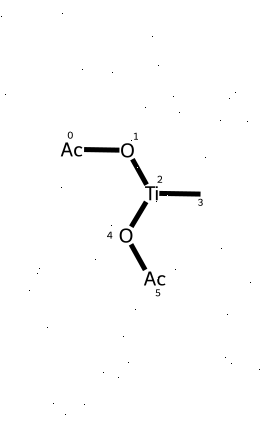 CC(=O)[O][Ti]([CH3])[O]C(C)=O